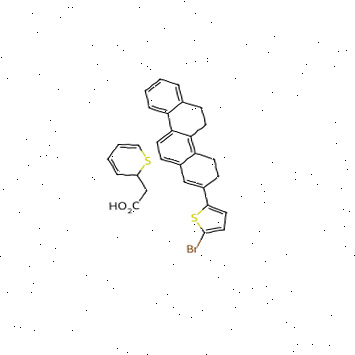 Brc1ccc(C2=Cc3ccc4c(c3CC2)CCc2ccccc2-4)s1.O=C(O)CC1C=CC=CS1